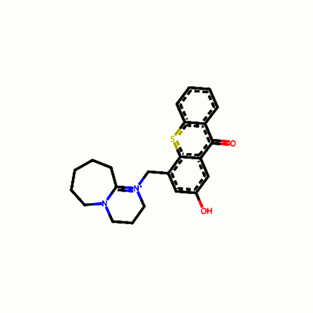 O=c1c2ccccc2sc2c(C[N+]3=C4CCCCCN4CCC3)cc(O)cc12